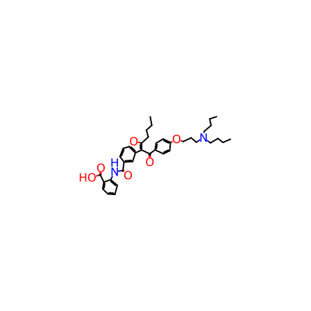 CCCCc1oc2ccc(C(=O)Nc3ccccc3C(=O)O)cc2c1C(=O)c1ccc(OCCCN(CCCC)CCCC)cc1